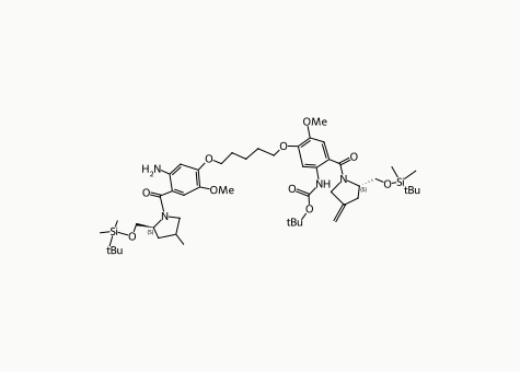 C=C1C[C@@H](CO[Si](C)(C)C(C)(C)C)N(C(=O)c2cc(OC)c(OCCCCCOc3cc(N)c(C(=O)N4CC(C)C[C@H]4CO[Si](C)(C)C(C)(C)C)cc3OC)cc2NC(=O)OC(C)(C)C)C1